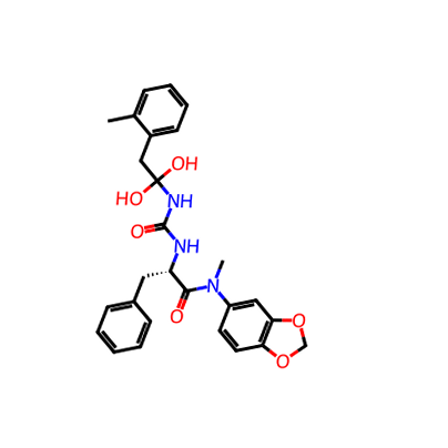 Cc1ccccc1CC(O)(O)NC(=O)N[C@@H](Cc1ccccc1)C(=O)N(C)c1ccc2c(c1)OCO2